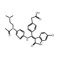 CC(=O)N(CCN(C)C)c1ccc(N/C(=C2\C(=O)Nc3cc(Cl)ccc32)c2ccc(CC(=O)O)cc2)cc1